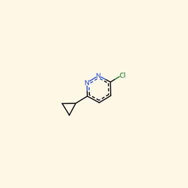 Clc1ccc(C2CC2)nn1